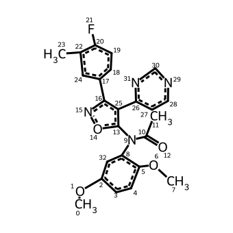 COc1ccc(OC)c(N(C(C)=O)c2onc(-c3ccc(F)c(C)c3)c2-c2ccncn2)c1